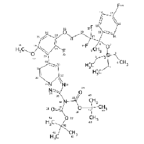 CC[Si](CC)(CC)OC(C)(c1ccc(F)cc1)C(F)(F)CCOc1ccc(OC)c(-c2ccn3nc(N(C(=O)OC(C)(C)C)C(=O)OC(C)(C)C)nc3c2)c1F